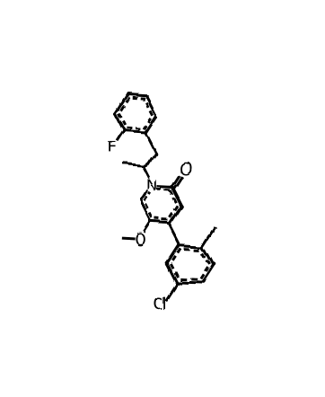 COc1cn(C(C)Cc2ccccc2F)c(=O)cc1-c1cc(Cl)ccc1C